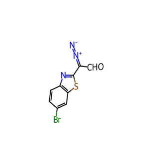 [N-]=[N+]=C(C=O)c1nc2ccc(Br)cc2s1